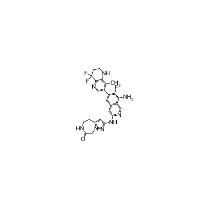 Cc1c(-c2cc3cc(Nc4cc5n(n4)CC(=O)NCC5)ncc3c(N)c2F)cnc2c1NCCC2(F)F